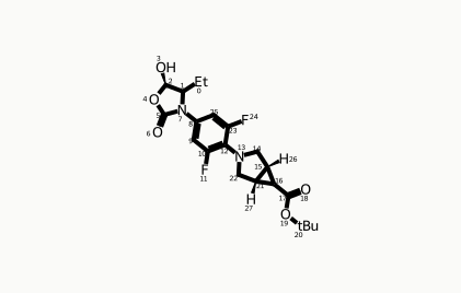 CCC1[C@H](O)OC(=O)N1c1cc(F)c(N2C[C@@H]3C(C(=O)OC(C)(C)C)[C@@H]3C2)c(F)c1